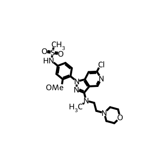 COc1cc(NS(C)(=O)=O)ccc1-n1nc(N(C)CCN2CCOCC2)c2cnc(Cl)cc21